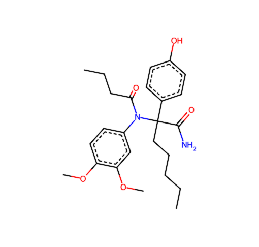 CCCCCC(C(N)=O)(c1ccc(O)cc1)N(C(=O)CCC)c1ccc(OC)c(OC)c1